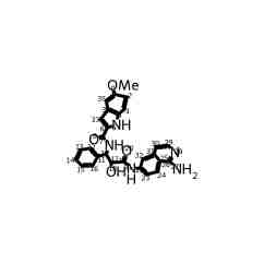 COc1ccc2[nH]c(C(=O)NC(c3ccccc3)C(O)C(=O)Nc3ccc4c(N)nccc4c3)cc2c1